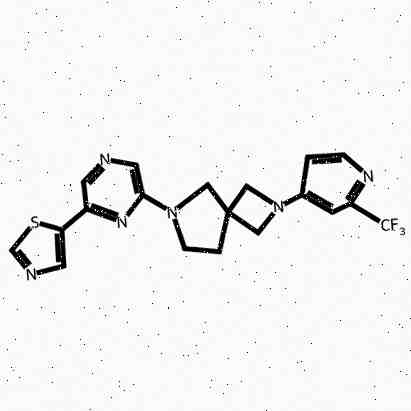 FC(F)(F)c1cc(N2CC3(CCN(c4cncc(-c5cncs5)n4)C3)C2)ccn1